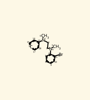 CN(CCN(C)c1ccccc1Br)c1ccccc1